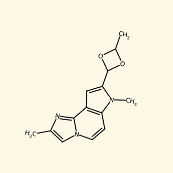 Cc1cn2ccc3c(cc(C4OC(C)O4)n3C)c2n1